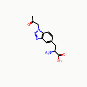 CC(=O)Cn1nnc2cc(CC(N)C(=O)O)ccc21